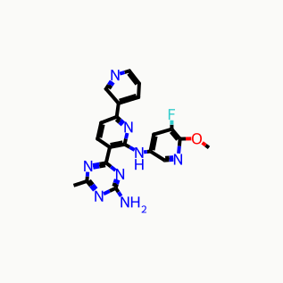 COc1ncc(Nc2nc(-c3cccnc3)ccc2-c2nc(C)nc(N)n2)cc1F